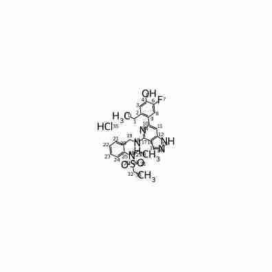 CCc1cc(O)c(F)cc1-c1cc2[nH]ncc2c(NCc2ccccc2N(CC)S(=O)(=O)CC)n1.Cl